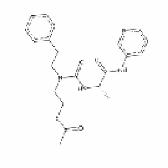 CC(=O)SCCN(CCc1ccccc1)C(=O)N[C@@H](C)C(=O)Nc1cccnc1